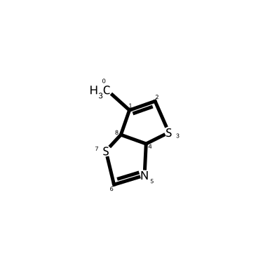 CC1=CSC2N=CSC12